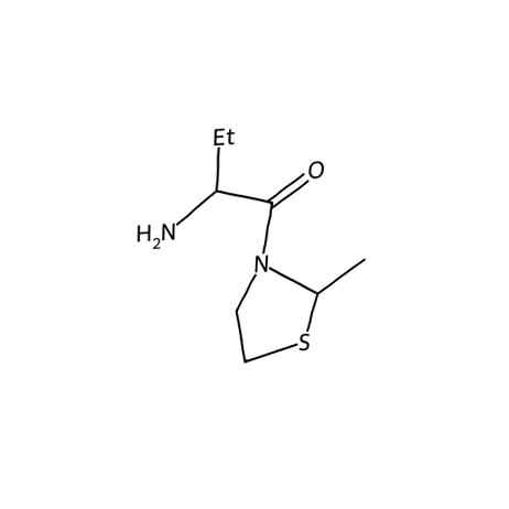 CCC(N)C(=O)N1CCSC1C